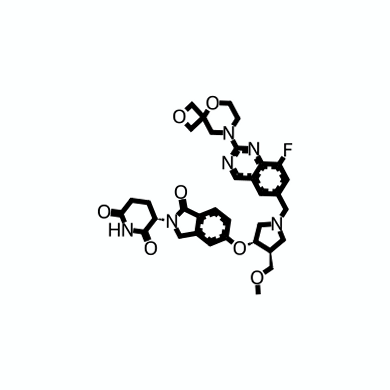 COC[C@@H]1CN(Cc2cc(F)c3nc(N4CCOC5(COC5)C4)ncc3c2)C[C@H]1Oc1ccc2c(c1)CN([C@H]1CCC(=O)NC1=O)C2=O